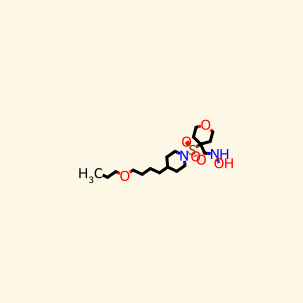 CCCOCCCCC1CCN(S(=O)(=O)C2(C(=O)NO)CCOCC2)CC1